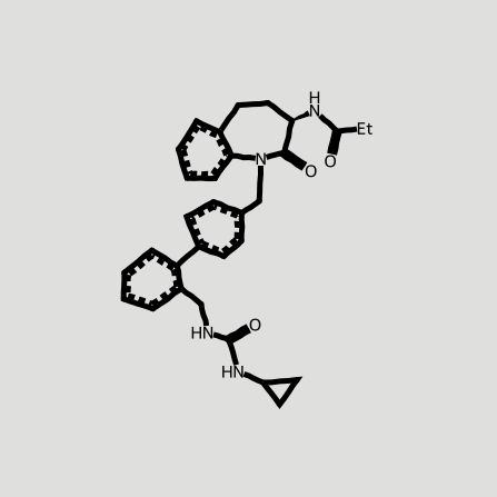 CCC(=O)N[C@@H]1CCc2ccccc2N(Cc2ccc(-c3ccccc3CNC(=O)NC3CC3)cc2)C1=O